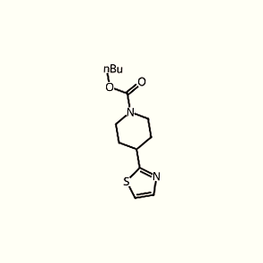 CCCCOC(=O)N1CCC(c2nccs2)CC1